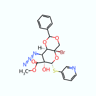 COC(=O)[C@]1(O)[C@@H](Sc2cccnc2)O[C@@]2(Br)COC(c3ccccc3)O[C@@H]2[C@@H]1N=[N+]=[N-]